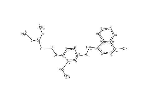 CCN(CC)CCOc1ccc(CNc2ccc(Cl)c3ccccc23)cc1OC